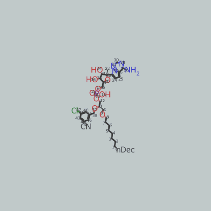 CCCCCCCCCCCCCCCCCCOC[C@H](COP(=O)(O)OCC1O[C@@](C)(c2ccc3c(N)ncnn23)[C@H](O)[C@@H]1O)OCc1cc(Cl)cc(C#N)c1